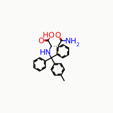 Cc1ccc(C(N[C@@H](CC(N)=O)C(=O)O)(c2ccccc2)c2ccccc2)cc1